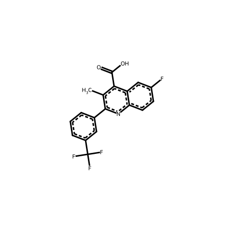 Cc1c(-c2cccc(C(F)(F)F)c2)nc2ccc(F)cc2c1C(=O)O